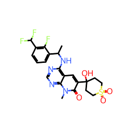 CC(Nc1ncnc2c1cc(C1(O)CCS(=O)(=O)CC1)c(=O)n2C)c1cccc(C(F)F)c1F